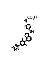 Cc1cc(-c2nnn(C)n2)cc(C)c1-c1cccc2c1CC[C@H]2Nc1ccc([C@@H]2C[C@H]2C(=O)O)nc1